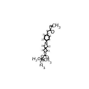 COC(=O)Cc1ccc(N2CC3(CN(C(=O)OC(C)(C)C)C3)C2)cc1